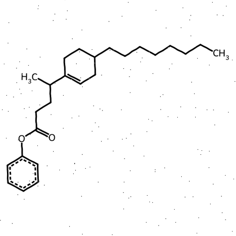 CCCCCCCCC1CC=C(C(C)CCC(=O)Oc2ccccc2)CC1